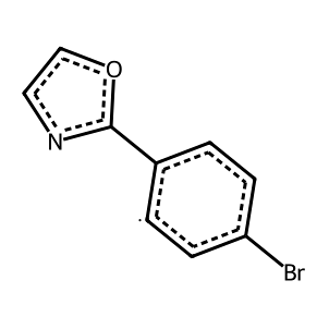 Brc1c[c]c(-c2ncco2)cc1